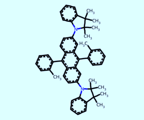 Cc1ccccc1-c1c2ccc(N3c4ccccc4C(C)(C)C3(C)C)cc2c(-c2ccccc2C)c2cc(N3c4ccccc4C(C)(C)C3(C)C)ccc12